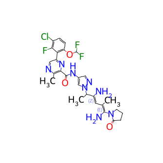 CC(/C=C(\N)C(C)n1cc(NC(=O)c2nc(-c3c(OC(F)F)ccc(Cl)c3F)cnc2C)cn1)=C(/N)N1CCCC1=O